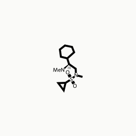 CN[C@H](CN(C)S(=O)(=O)C1CC1)C1CCCCC1